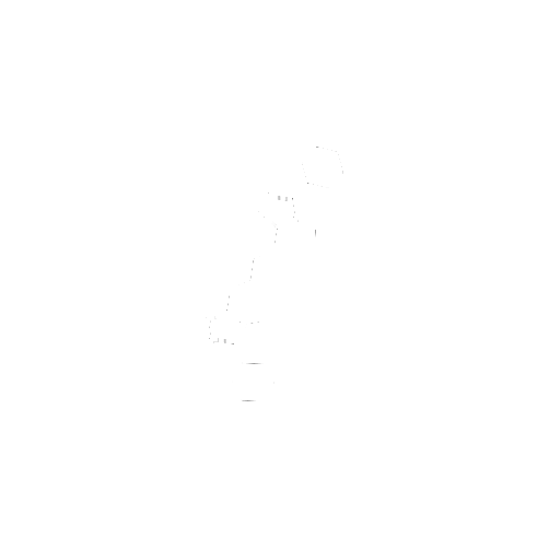 CCn1c(SCCSc2nnc(C3CCCCC3)n2CC)nnc1C1CCCCC1